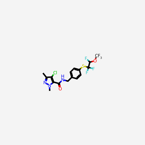 Cc1nn(C)c(C(=O)NCc2ccc(SC(F)(F)C(F)OC(F)(F)F)cc2)c1Cl